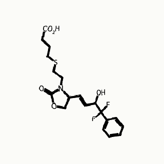 O=C(O)CCCSCCN1C(=O)OCC1C=CC(O)C(F)(F)c1ccccc1